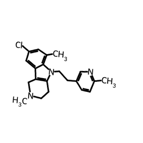 Cc1ccc(CCn2c3c(c4cc(Cl)cc(C)c42)CN(C)CC3)cn1